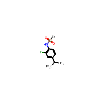 CCS(=O)(=O)Nc1ccc(C(C)C(=O)O)cc1F